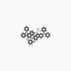 CC1(C)c2cc(N(c3ccccc3)c3ccccc3)ccc2-c2cc3c(cc21)B1c2c(cccc2Oc2c1c1ccccc1c1c2c2ccccc2n1-c1ccccc1)O3